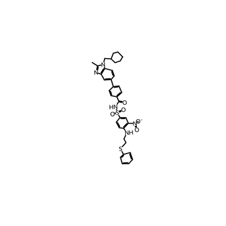 Cc1nc2cc(-c3ccc(C(=O)NS(=O)(=O)c4ccc(NCCSc5ccccc5)c([N+](=O)[O-])c4)cc3)ccc2n1CC1CCCCC1